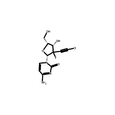 Nc1ccn([C@@H]2O[C@H](CO)[C@H](O)C2(F)C#CCl)c(=O)n1